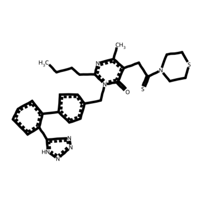 CCCCc1nc(C)c(CC(=S)N2CCSCC2)c(=O)n1Cc1ccc(-c2ccccc2-c2nnn[nH]2)cc1